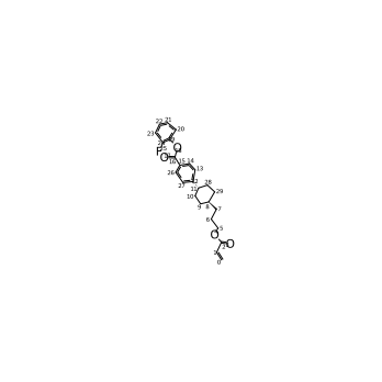 C=CC(=O)OCCC[C@H]1CC[C@H](c2ccc(C(=O)Oc3ccccc3F)cc2)CC1